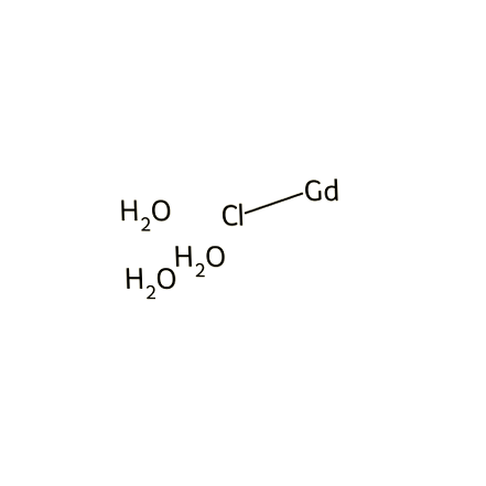 O.O.O.[Cl][Gd]